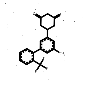 Cc1cc(-c2ccccc2C(F)(F)F)cc(C2CC(=O)CC(=O)C2)c1